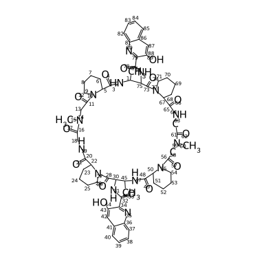 CC1NC(=O)C2CCCCN2C(=O)CN(C)C(=O)CNC(=O)C2CCCCN2C(=O)C(NC(=O)c2nc3ccccc3cc2O)C(C)NC(=O)C2CCCCN2C(=O)CN(C)C(=O)CNC(=O)C2CCCCN2C(=O)C1NC(=O)c1nc2ccccc2cc1O